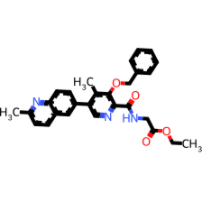 CCOC(=O)CNC(=O)c1ncc(-c2ccc3nc(C)ccc3c2)c(C)c1OCc1ccccc1